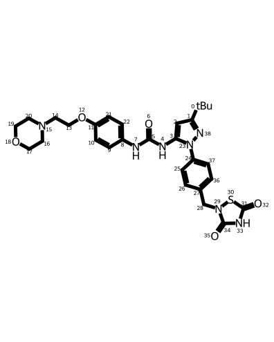 CC(C)(C)c1cc(NC(=O)Nc2ccc(OCCN3CCOCC3)cc2)n(-c2ccc(Cn3sc(=O)[nH]c3=O)cc2)n1